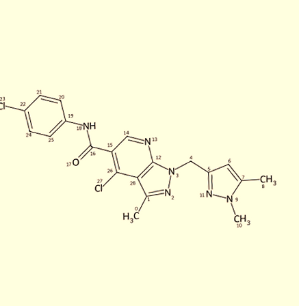 Cc1nn(Cc2cc(C)n(C)n2)c2ncc(C(=O)Nc3ccc(Cl)cc3)c(Cl)c12